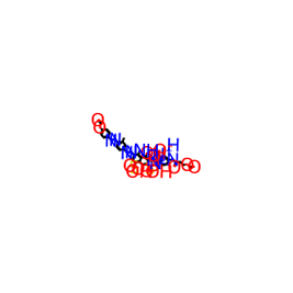 Cc1cc(/N=N/c2cc(S(=O)(=O)O)c3cc(S(=O)(=O)O)c(/N=N/c4ccc(NC(=O)CCOC=O)cc4[N+](=O)[O-])c(O)c3c2N)ccc1/N=N/c1ccc(OC=O)cc1